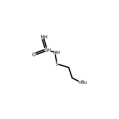 CCCCCCSN[SH](=N)=O